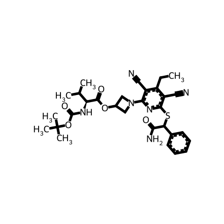 CCc1c(C#N)c(SC(C(N)=O)c2ccccc2)nc(N2CC(OC(=O)[C@@H](NC(=O)OC(C)(C)C)C(C)C)C2)c1C#N